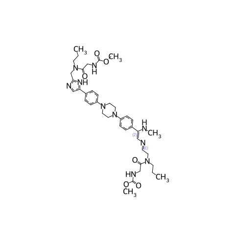 CCCN(C/C=N/C=C(\NC)c1ccc(N2CCN(c3ccc(-c4cnc(CN(CCC)C(=O)CNC(=O)OC)[nH]4)cc3)CC2)cc1)C(=O)CNC(=O)OC